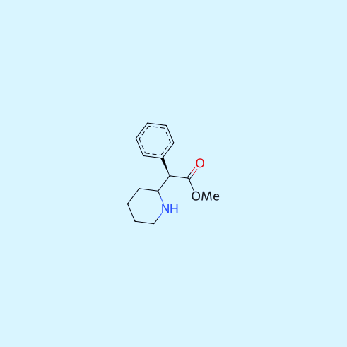 COC(=O)[C@H](c1ccccc1)C1CCCCN1